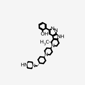 C[C@@H]1c2c([nH]c3nnc(-c4ccccc4O)cc23)CCN1C1CCN([C@H]2CC[C@@H](CN3CCNCC3)CC2)CC1